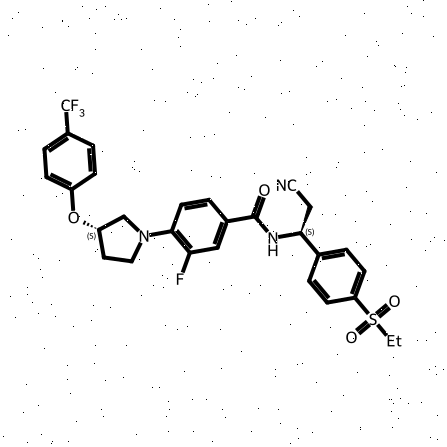 CCS(=O)(=O)c1ccc([C@H](CC#N)NC(=O)c2ccc(N3CC[C@H](Oc4ccc(C(F)(F)F)cc4)C3)c(F)c2)cc1